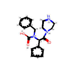 O=C(C(c1ccccc1)N(Cc1ccccc1)C(=O)O)N1CCNCC1